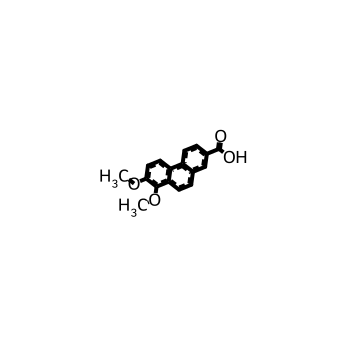 COc1ccc2c(ccc3cc(C(=O)O)ccc32)c1OC